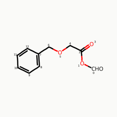 O=COC(=O)COCc1ccccc1